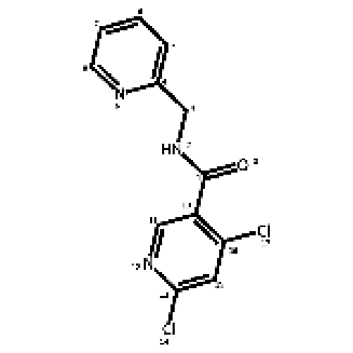 O=C(NCc1ccccn1)c1cnc(Cl)cc1Cl